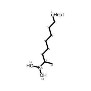 CCCCCCCCCCCCCC(C)B(O)O